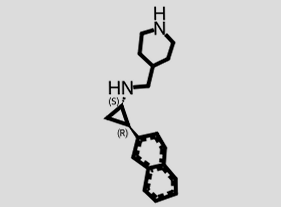 c1ccc2cc([C@H]3C[C@@H]3NCC3CCNCC3)ccc2c1